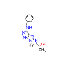 CC(O)CNc1nc2c(NCc3ccccc3)ncnc2n1C(C)C